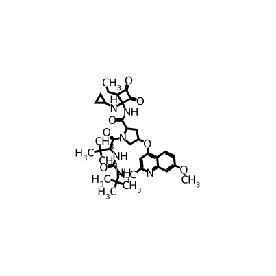 CCC1C(=O)C(=O)C1(NC(=O)C1CC(Oc2cc(C)nc3cc(OC)ccc23)CN1C(=O)C(NC(=O)NC(C)(C)C)C(C)(C)C)NC1CC1